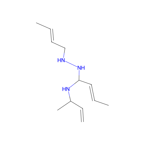 C=CC(C)NC(C=CC)NNC/C=C/C